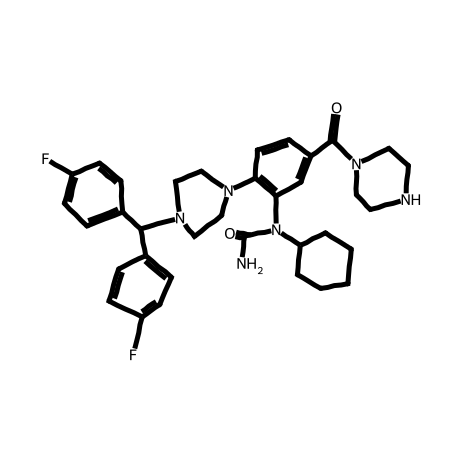 NC(=O)N(c1cc(C(=O)N2CCNCC2)ccc1N1CCN(C(c2ccc(F)cc2)c2ccc(F)cc2)CC1)C1CCCCC1